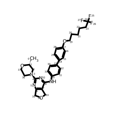 C[C@@H]1CN(c2nc3c(c(Nc4ccc(-c5ccc(OCCCCCC(F)(F)F)cc5)cc4)n2)COC3)CCO1